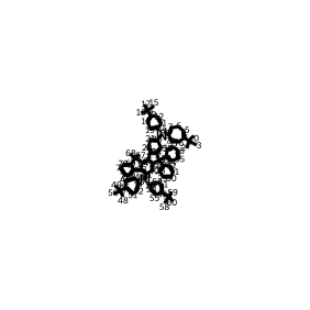 CC(C)(C)C1=CCC=C(N(c2ccc(C(C)(C)C)cc2)c2ccc3c(c2)C(c2ccccc2)(c2ccccc2)c2cc(N(c4ccc(C(C)(C)C)cc4)c4ccc(C(C)(C)C)cc4)c4c(c2-3)C(C)(C)c2ccccc2-4)C=C1